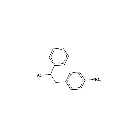 CC(=O)C(Cc1ccc([N+](=O)[O-])cc1)c1ccccc1